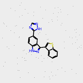 c1ccc2c(-c3n[nH]c4ccc(-c5ncn[nH]5)cc34)csc2c1